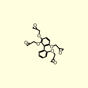 c1ccc(-c2c(OCC3CO3)ccc(OCC3CO3)c2OCC2CO2)c(OCC2CO2)c1